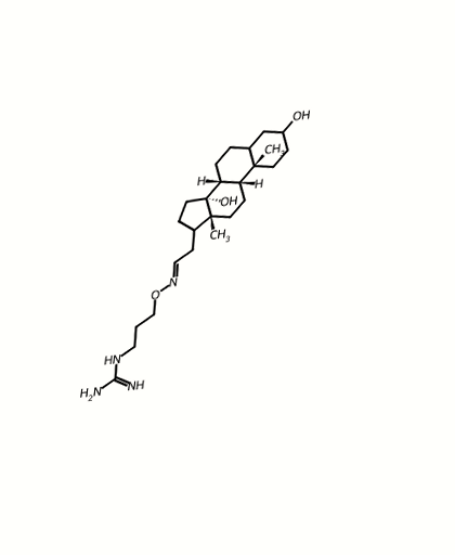 C[C@]12CCC(O)CC1CC[C@@H]1[C@H]2CC[C@]2(C)C(C/C=N/OCCCNC(=N)N)CC[C@@]12O